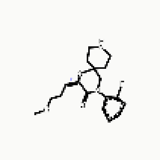 COCC/C=C1/OC2(CCNCC2)CN(c2ccccc2F)C1=O